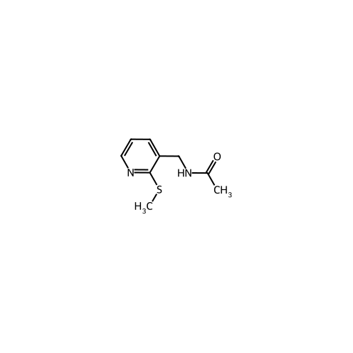 CSc1ncccc1CNC(C)=O